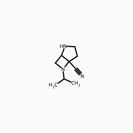 CC(C)N1CC2NCCC21C#N